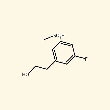 CS(=O)(=O)O.OCCc1cccc(F)c1